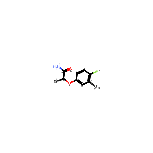 CCC(Oc1ccc(F)c(C(F)(F)F)c1)C(N)=O